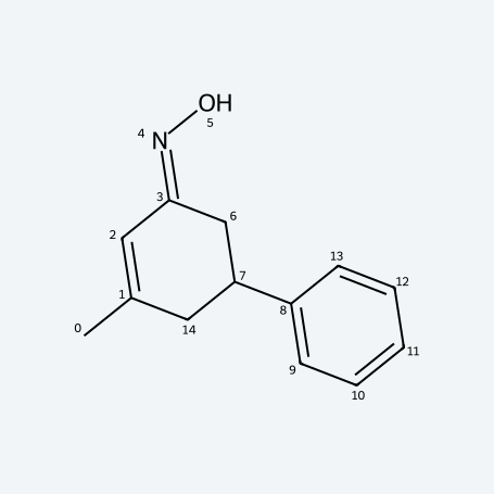 CC1=CC(=NO)CC(c2ccccc2)C1